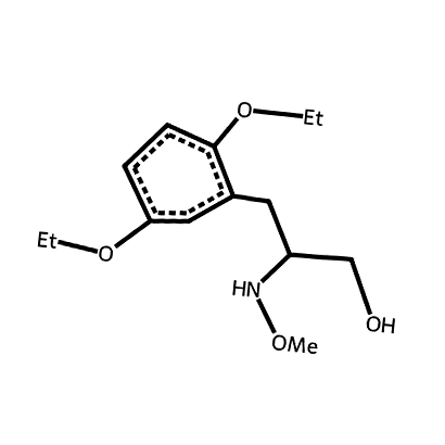 CCOc1ccc(OCC)c(CC(CO)NOC)c1